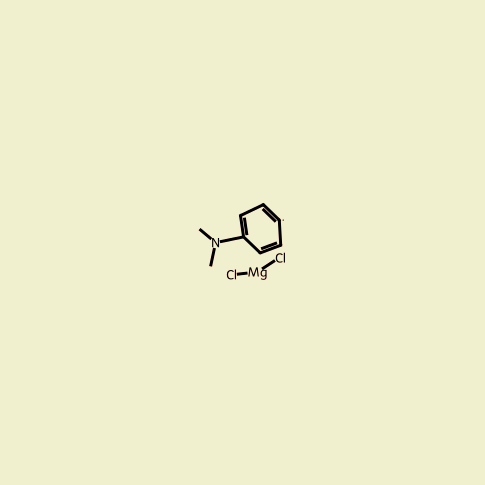 CN(C)c1cc[c]cc1.[Cl][Mg][Cl]